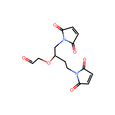 O=CCOC(CCN1C(=O)C=CC1=O)CN1C(=O)C=CC1=O